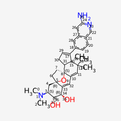 CN(C)[C@H]1C[C@@]23CC[C@@]4(O2)C(=CC(C)(C)[C@]2(C)C(c5ccc6cnc(N)cc6c5)=CCC42)C=C3[C@@H](O)[C@@H]1O